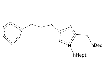 CCCCCCCCCCCc1nc(CCCc2ccccc2)cn1CCCCCCC